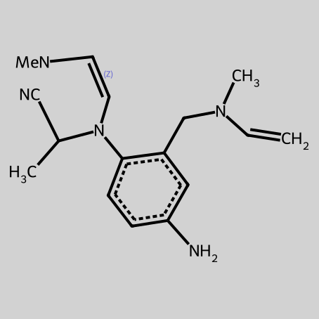 C=CN(C)Cc1cc(N)ccc1N(/C=C\NC)C(C)C#N